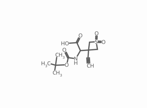 C#CC1(C(NC(=O)OC(C)(C)C)C(=O)O)CS(=O)(=O)C1